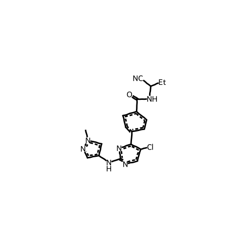 CCC(C#N)NC(=O)c1ccc(-c2nc(Nc3cnn(C)c3)ncc2Cl)cc1